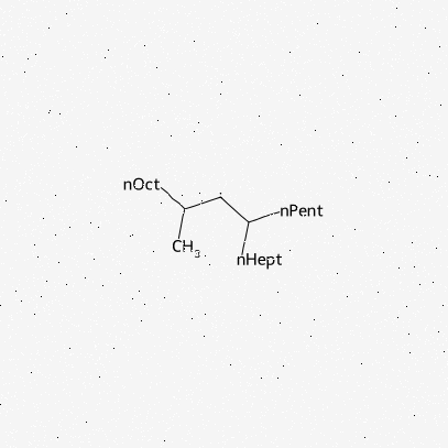 CCCCCCCCC(C)[CH]C(CCCCC)CCCCCCC